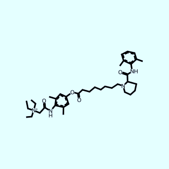 CC[N+](CC)(CC)CC(=O)Nc1c(C)cc(OC(=O)CCCCCCCN2CCCCC2C(=O)Nc2c(C)cccc2C)cc1C